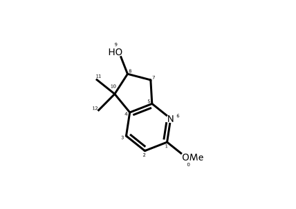 COc1ccc2c(n1)CC(O)C2(C)C